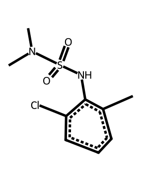 Cc1cccc(Cl)c1NS(=O)(=O)N(C)C